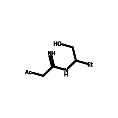 CCC(CO)NC(=N)CC(C)=O